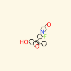 O=CC1CCN(c2ccc([C@@H]3c4ccc(O)cc4CO[C@@H]3c3ccccc3)cc2F)CC1